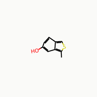 Cc1scc2ccc(O)cc12